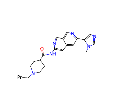 CC(C)CN1CCC(C(=O)Nc2cc3cc(-c4cncn4C)ncc3cn2)CC1